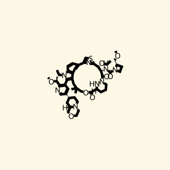 CCO[C@@H]1c2nc(cs2)-c2ccc3c(c2)c(c(-c2cc([C@@H]4CCN5CCOC[C@@H]5C4)cnc2[C@H](C)OC)n3CC)CC(C)(C)COC(=O)[C@@H]2CCCN(N2)C(=O)[C@H]1NC(=O)N1CC[C@H]1COC